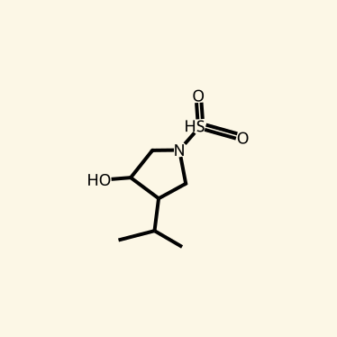 CC(C)C1CN([SH](=O)=O)CC1O